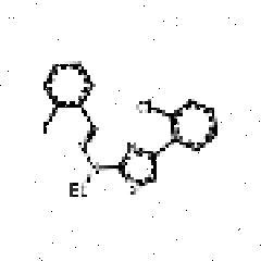 CCN(/N=C/c1ccccc1I)c1nc(-c2ccccc2Cl)cs1